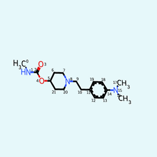 CNC(=O)OC1CCN(CCc2ccc(N(C)C)cc2)CC1